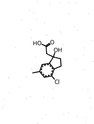 Cc1cc(Cl)c2c(c1)C(O)(CC(=O)O)CC2